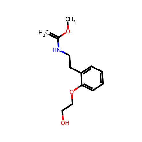 C=C(NCCc1ccccc1OCCO)OC